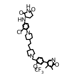 Cc1c(-c2ccc(CN3CCC(CCC4CCN(c5ccc(NC6CCC(=O)NC6=O)cc5Cl)CC4)CC3)c(OC(F)(F)F)c2)cn(C)c(=O)c1C